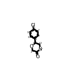 O=C1COC(c2ccc(Cl)cc2)C[N]1